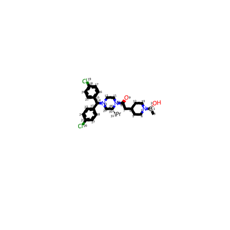 CB(O)N1CCC(CC(=O)N2CCN(C(c3ccc(Cl)cc3)c3ccc(Cl)cc3)C[C@H]2C(C)C)CC1